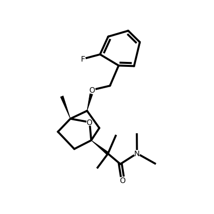 CN(C)C(=O)C(C)(C)[C@@]12CC[C@@](C)(O1)[C@@H](OCc1ccccc1F)C2